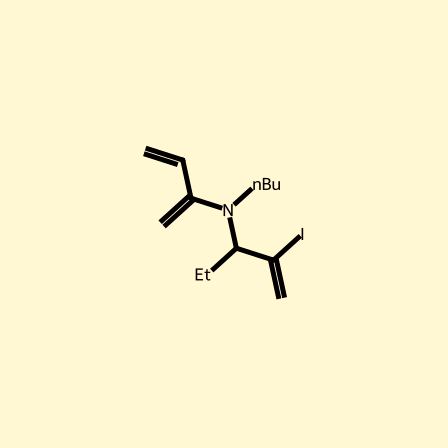 C=CC(=C)N(CCCC)C(CC)C(=C)I